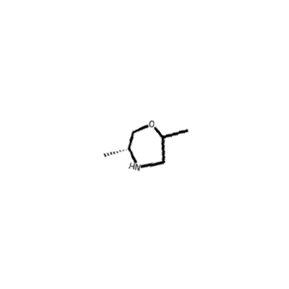 C[C]1CN[C@H](C)CO1